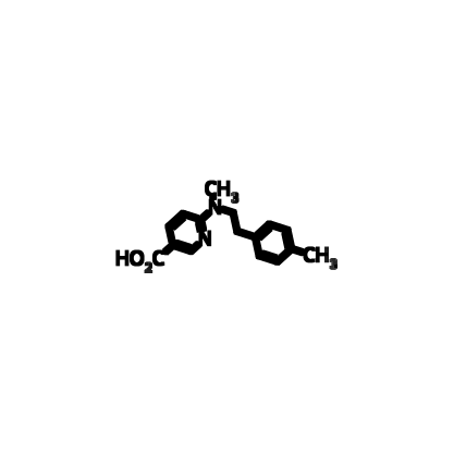 Cc1ccc(CCN(C)c2ccc(C(=O)O)cn2)cc1